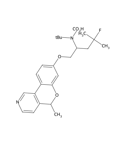 CC1Oc2cc(OCC(CC(C)(C)F)N(C(=O)O)C(C)(C)C)ccc2-c2cnccc21